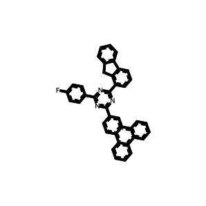 Fc1ccc(-c2nc(-c3ccc4c5ccccc5c5ccccc5c4c3)nc(-c3cccc4c3Cc3ccccc3-4)n2)cc1